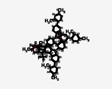 Cc1ccc(-c2ccc3c(c2)c2cc(-c4ccc(C)cc4C)ccc2n3-c2ccc(-c3cc(C(F)(F)F)cc(C(F)(F)F)c3)cc2-c2c(C#N)cccc2-n2c3ccc(-c4ccc(C)cc4C)cc3c3cc(-c4ccc(C)cc4C)ccc32)c(C)c1